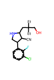 CCC(CC)(CO)CC1NCC(c2cccc(Cl)c2F)C1C#N